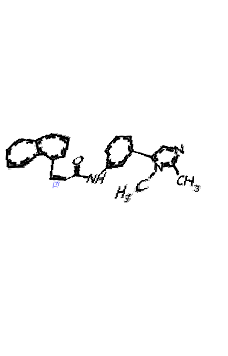 Cc1ncc(-c2cccc(NC(=O)/C=C\c3cccc4ccccc34)c2)n1C